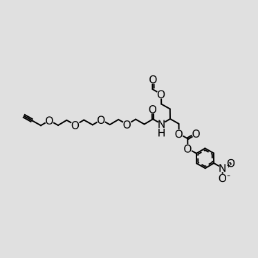 C#CCOCCOCCOCCOCCC(=O)NC(CCOC=O)COC(=O)Oc1ccc([N+](=O)[O-])cc1